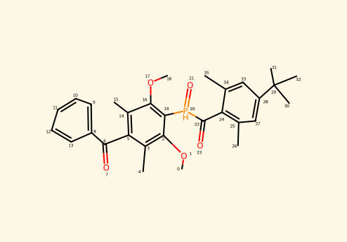 COc1c(C)c(C(=O)c2ccccc2)c(C)c(OC)c1[PH](=O)C(=O)c1c(C)cc(C(C)(C)C)cc1C